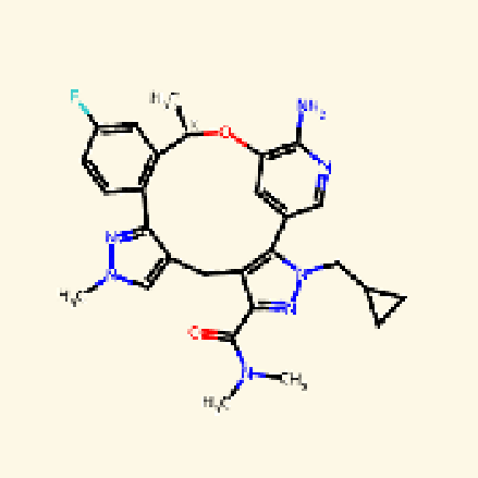 C[C@H]1Oc2cc(cnc2N)-c2c(c(C(=O)N(C)C)nn2CC2CC2)Cc2cn(C)nc2-c2ccc(F)cc21